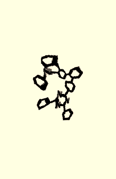 c1ccc(-c2nc(-c3ccccc3)nc(-c3ccc(-c4ccccc4-c4ccc5c(c4)c4ccccc4n5-c4ccccc4)cc3)n2)cc1